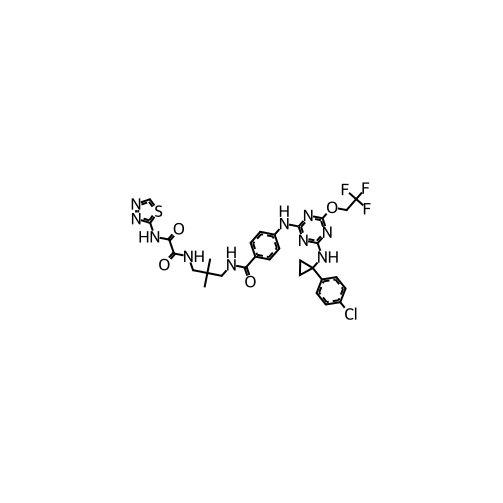 CC(C)(CNC(=O)C(=O)Nc1nncs1)CNC(=O)c1ccc(Nc2nc(NC3(c4ccc(Cl)cc4)CC3)nc(OCC(F)(F)F)n2)cc1